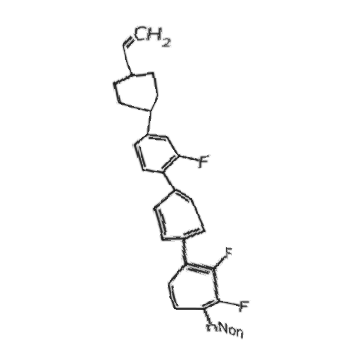 C=CC1CCC(c2ccc(-c3ccc(-c4ccc(CCCCCCCCC)c(F)c4F)cc3)c(F)c2)CC1